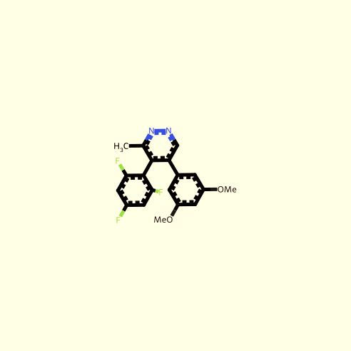 COc1cc(OC)cc(-c2cnnc(C)c2-c2c(F)cc(F)cc2F)c1